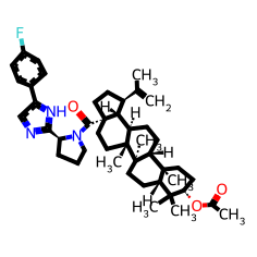 C=C(C)[C@@H]1CC[C@]2(C(=O)N3CCC[C@H]3c3ncc(-c4ccc(F)cc4)[nH]3)CC[C@]3(C)[C@H](CC[C@@H]4[C@@]5(C)CC[C@H](OC(C)=O)C(C)(C)[C@@H]5CC[C@]43C)[C@@H]12